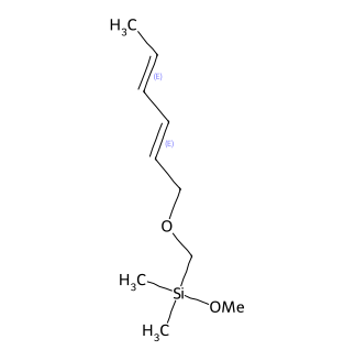 C/C=C/C=C/COC[Si](C)(C)OC